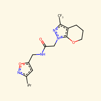 CC(C)c1cc(CNC(=O)Cn2nc(C(F)(F)F)c3c2OCCC3)on1